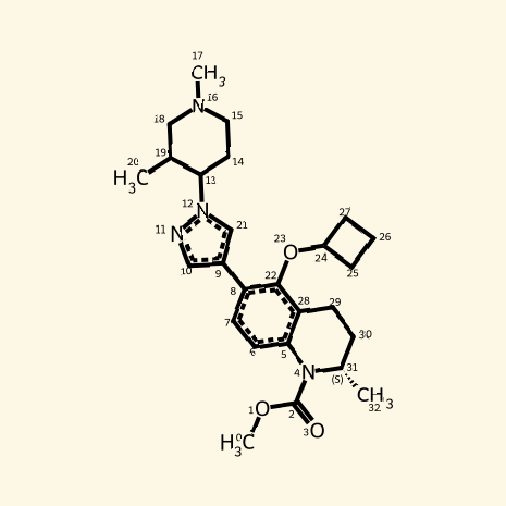 COC(=O)N1c2ccc(-c3cnn(C4CCN(C)CC4C)c3)c(OC3CCC3)c2CC[C@@H]1C